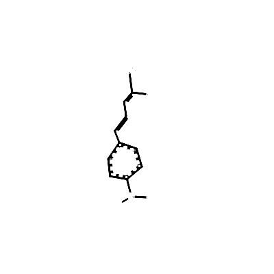 CCN(CC)c1ccc(C=CC=C(C#N)C(=O)O)cc1